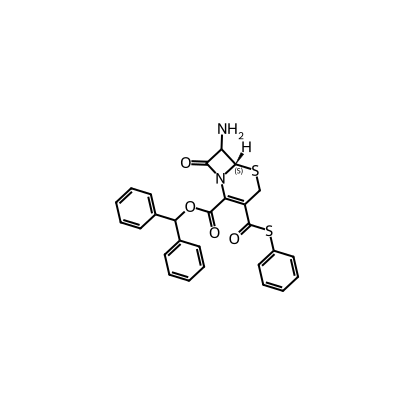 NC1C(=O)N2C(C(=O)OC(c3ccccc3)c3ccccc3)=C(C(=O)Sc3ccccc3)CS[C@@H]12